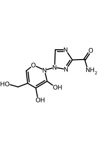 NC(=O)c1ncn(N2OC=C(CO)C(O)=C2O)n1